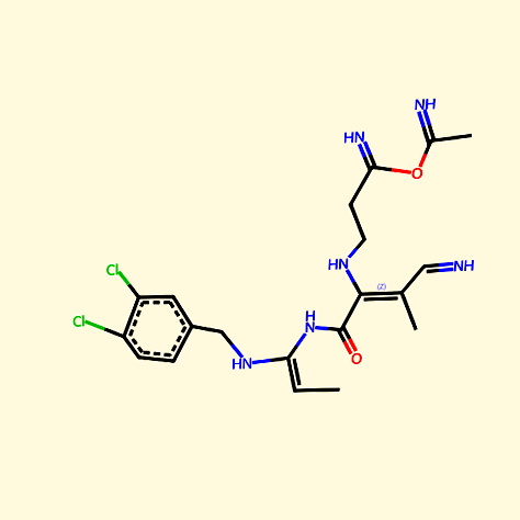 CC=C(NCc1ccc(Cl)c(Cl)c1)NC(=O)/C(NCCC(=N)OC(C)=N)=C(\C)C=N